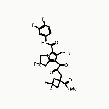 CNC(=O)C1(CC(=O)C(=O)c2c(C)c(C(=O)Nc3ccc(F)c(F)c3)n3c2C[C@@H](F)C3)CC(F)(F)C1